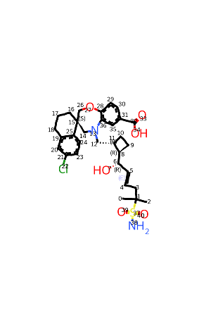 CC(C)(C/C=C/[C@H](O)[C@@H]1CC[C@H]1CN1C[C@@]2(CCCc3cc(Cl)ccc32)COc2ccc(C(=O)O)cc21)S(N)(=O)=O